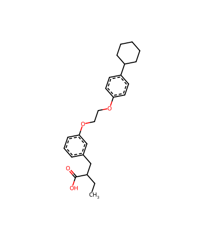 CCC(Cc1cccc(OCCOc2ccc(C3CCCCC3)cc2)c1)C(=O)O